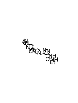 CCNC(=O)Nc1cc(CN2CCN(c3ccc(-n4cccn4)nc3C#N)CC2)ncn1